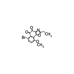 CCc1nc2c(o1)-c1c(OC)ccc(Br)c1C(=O)C2=O